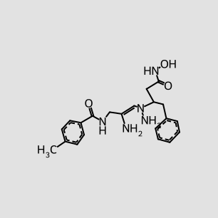 Cc1ccc(C(=O)NC/C(N)=C/N(N)C(CC(=O)NO)Cc2ccccc2)cc1